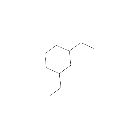 CC[C]1CCCC(CC)C1